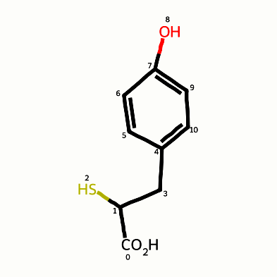 O=C(O)C(S)Cc1ccc(O)cc1